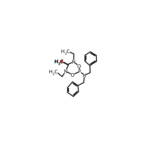 CCN(CC)OP(ON(CC)CC)N(Cc1ccccc1)Cc1ccccc1